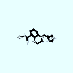 COC(=O)c1cccc2c1OCCN2Cc1c[nH]cn1